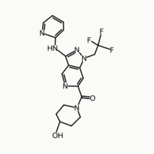 O=C(c1cc2c(cn1)c(Nc1ccccn1)nn2CC(F)(F)F)N1CCC(O)CC1